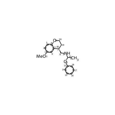 COc1ccc2c(c1)[C@H](CNC(C)Oc1ccccc1)CCO2